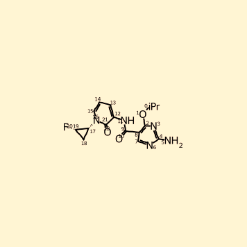 CC(C)Oc1nc(N)ncc1C(=O)Nc1cccn([C@@H]2C[C@@H]2F)c1=O